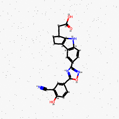 N#Cc1cc(-c2nc(-c3ccc4[nH]c5c(c4c3)CCC5CC(=O)O)no2)ccc1O